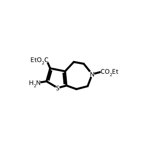 CCOC(=O)c1c(N)sc2c1CCN(C(=O)OCC)CC2